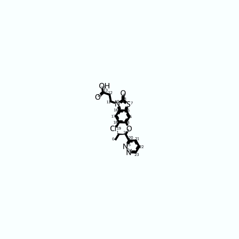 CC[C@@H](Oc1cc2sc(=O)n(CCC(=O)O)c2cc1Cl)c1cccnn1